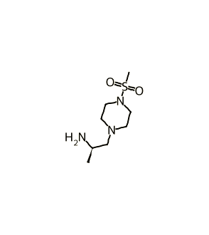 C[C@@H](N)CN1CCN(S(C)(=O)=O)CC1